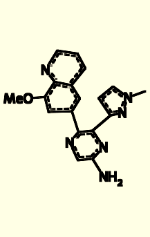 COc1cc(-c2ncc(N)nc2-c2ccn(C)n2)cc2cccnc12